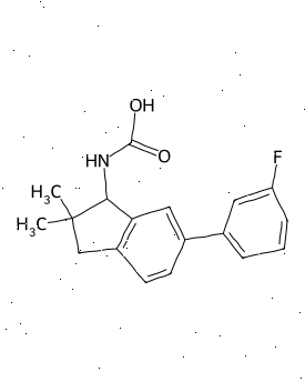 CC1(C)Cc2ccc(-c3cccc(F)c3)cc2C1NC(=O)O